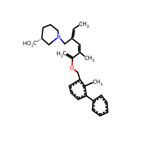 C=C(OCc1cccc(-c2ccccc2)c1C)/C(C)=C\C(=C/C)CN1CCC[C@@H](C(=O)O)C1